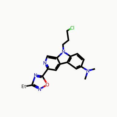 CCc1noc(-c2cc3c4cc(N(C)C)ccc4n(CCCCl)c3cn2)n1